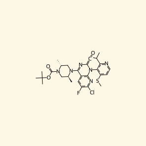 CSc1ccnc(C(C)C)c1N1C(=C=O)N=C(N2C[C@@H](C)N(C(=O)OC(C)(C)C)C[C@@H]2C)c2cc(F)c(Cl)nc21